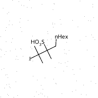 CCCCCCCC(C)(C(C)(C)I)S(=O)(=O)O